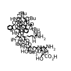 CC[C@H](C)C(NC(=O)[C@@H](CCCNC(=N)N)NC(=O)[C@H](CC(C)C)NC(=O)[C@@H](NC(=O)[C@@H](NC(=O)[C@H](CC(C)(C)C)NC(=O)[C@@H](CC(C)(C)C)NC(=O)OCc1ccccc1)[C@H](NC(=O)OC(C)(C)C)c1ccccc1)[C@H](O)C(C)C)C(=O)N[C@H](C(=O)NCC(=O)N[C@@H](CC(N)=O)C(=O)N[C@@H](CO)C(=O)O)[C@H](C)O